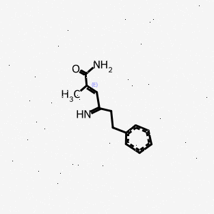 C/C(=C\C(=N)CCc1ccccc1)C(N)=O